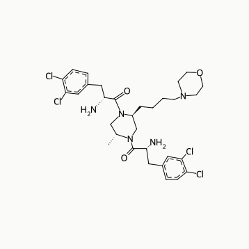 C[C@@H]1CN(C(=O)[C@H](N)Cc2ccc(Cl)c(Cl)c2)[C@@H](CCCCN2CCOCC2)CN1C(=O)[C@H](N)Cc1ccc(Cl)c(Cl)c1